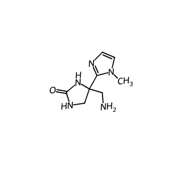 Cn1ccnc1C1(CN)CNC(=O)N1